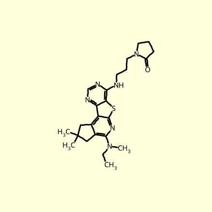 CCN(C)c1nc2sc3c(NCCCN4CCCC4=O)ncnc3c2c2c1CC(C)(C)C2